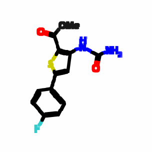 COC(=O)c1sc(-c2ccc(F)cc2)cc1NC(N)=O